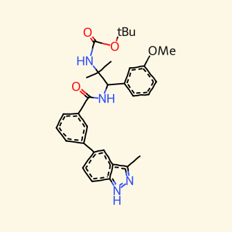 COc1cccc(C(NC(=O)c2cccc(-c3ccc4[nH]nc(C)c4c3)c2)C(C)(C)NC(=O)OC(C)(C)C)c1